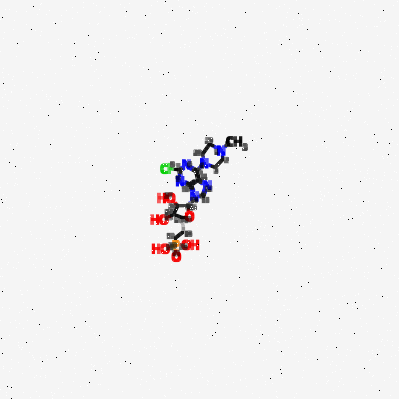 CN1CCN(c2nc(Cl)nc3c2ncn3[C@@H]2O[C@H](CCP(=O)(O)O)C(O)C2O)CC1